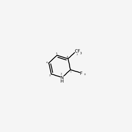 FC1NC=CC=C1C(F)(F)F